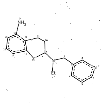 CCN(Cc1cccnc1)C1CCc2c(N)cccc2C1